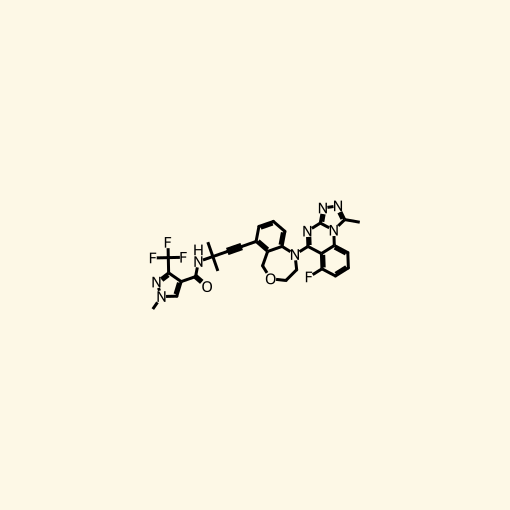 Cc1nnc2nc(N3CCOCc4c(C#CC(C)(C)NC(=O)c5cn(C)nc5C(F)(F)F)cccc43)c3c(F)cccc3n12